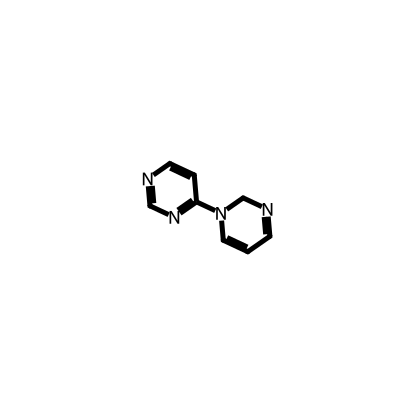 C1=CN(c2ccncn2)CN=C1